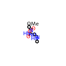 COc1ccc2c(c1)C(=O)N(C[C@@]1(c3ccc(/C=N\Nc4ccccc4)cc3)NC(=O)NC1=O)C2